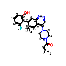 C=CC(=O)N1CCN(c2cnnc3cc(-c4c(O)cccc4F)c(C)cc23)CC1